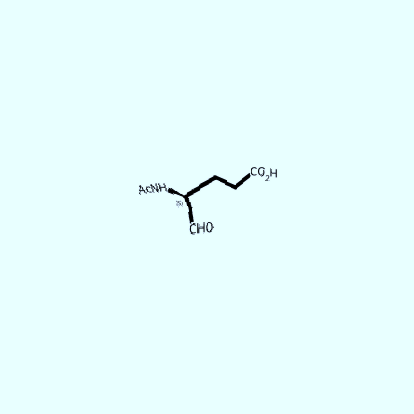 CC(=O)N[C@H]([C]=O)CCC(=O)O